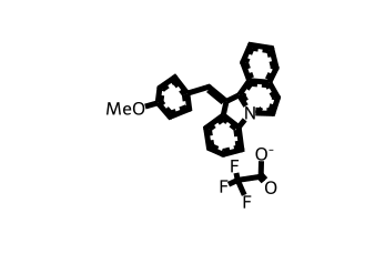 COc1ccc(C=C2c3ccccc3-[n+]3ccc4ccccc4c32)cc1.O=C([O-])C(F)(F)F